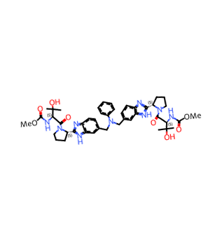 COC(=O)N[C@H](C(=O)N1CCC[C@H]1c1nc2ccc(CN(Cc3ccc4nc([C@@H]5CCCN5C(=O)[C@@H](NC(=O)OC)C(C)(C)O)[nH]c4c3)c3ccccc3)cc2[nH]1)C(C)(C)O